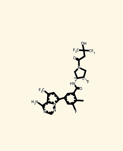 Cc1c(F)cc(-c2cc(C(F)(F)F)c3c(N)ncnn23)cc1C(=O)N[C@@H]1CN(C(=O)CC(O)(C(F)(F)F)C(F)(F)F)C[C@@H]1F